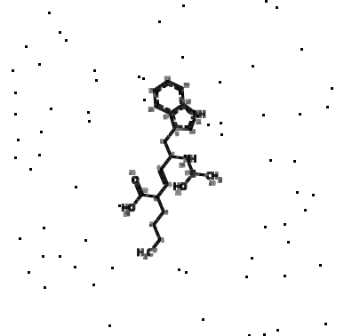 CCCCC(C=CC(Cc1c[nH]c2ccccc12)NB(C)O)C(=O)O